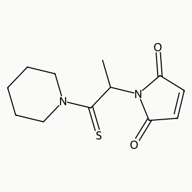 CC(C(=S)N1CCCCC1)N1C(=O)C=CC1=O